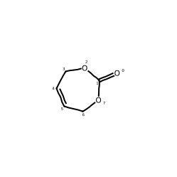 O=C1OCC=CCO1